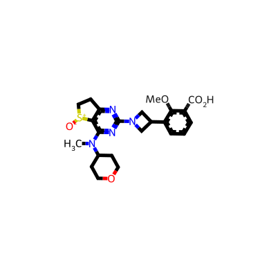 COc1c(C(=O)O)cccc1C1CN(c2nc3c(c(N(C)C4CCOCC4)n2)[S+]([O-])CC3)C1